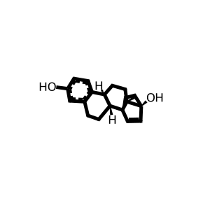 C[C@]12CC[C@@H]3c4ccc(O)cc4CC[C@H]3[C@@]13C=C[C@@]2(O)CC3